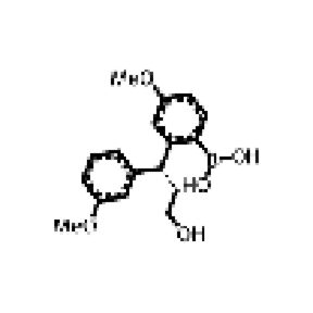 COc1cccc([C@@H](CCO)c2cc(OC)ccc2B(O)O)c1